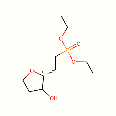 CCOP(=O)(CC[C@H]1OCCC1O)OCC